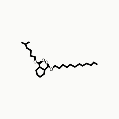 CCCCCCCCCCCCOC(=O)C1CCCCC1C(=O)OCCCCC(C)C